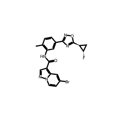 Cc1ccc(-c2noc([C@H]3C[C@@H]3F)n2)cc1NC(=O)c1cnn2ccc(Br)cc12